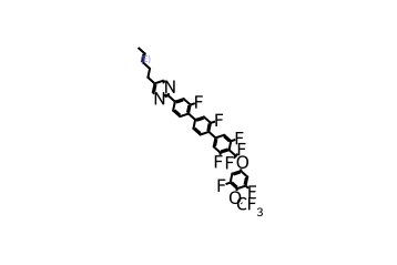 C/C=C/CCc1cnc(-c2ccc(-c3ccc(-c4cc(F)c(C(F)(F)Oc5cc(F)c(OC(F)(F)F)c(F)c5)c(F)c4)c(F)c3)c(F)c2)nc1